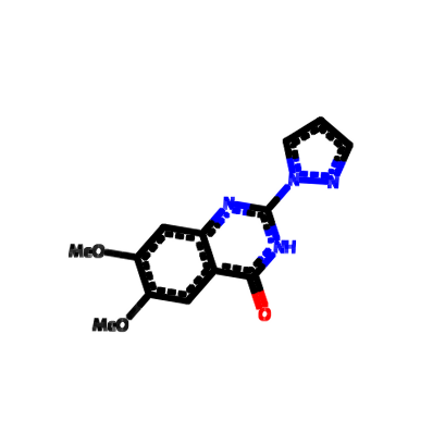 COc1cc2nc(-n3cccn3)[nH]c(=O)c2cc1OC